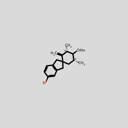 C=C1[C@H](C)C(OC)[C@H](C)CC12Cc1ccc(Br)cc1C2